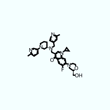 Cc1ccc(N2CCC[C@H](N(Cc3ccnc(C)c3)Cc3cn(C4CC4)c4cc(N5CCO[C@@H](CO)C5)c(F)cc4c3=O)C2)cn1